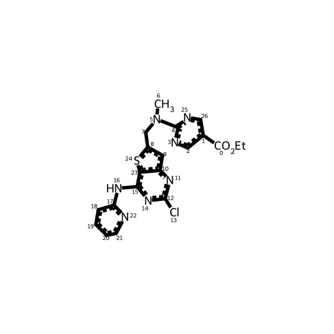 CCOC(=O)c1cnc(N(C)Cc2cc3nc(Cl)nc(Nc4ccccn4)c3s2)nc1